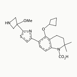 COC1(c2nc(-c3ccc4c(c3OC3CCC3)CCC(C)(C)N4C(=O)O)cs2)CNC1